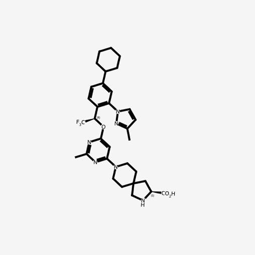 Cc1ccn(-c2cc(C3CCCCC3)ccc2[C@@H](Oc2cc(N3CCC4(CC3)CN[C@H](C(=O)O)C4)nc(C)n2)C(F)(F)F)n1